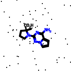 C[C@@]1(C(=O)O)CCCN1c1nc(N)c2cccn2n1